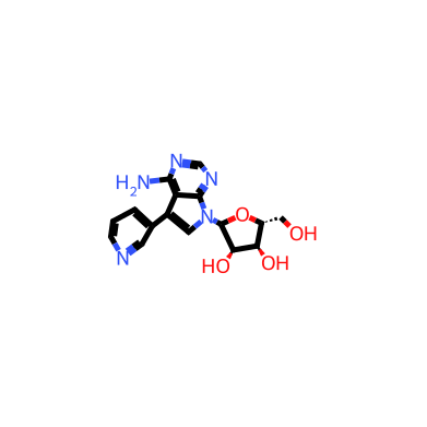 Nc1ncnc2c1c(-c1cccnc1)cn2C1O[C@H](CO)[C@@H](O)[C@H]1O